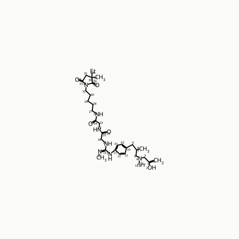 C=C(O)CN(CCC)CC(C)Cc1ccc(N/C(=N\C)NCC(=O)NCC(=O)NCCCCCN2C(=O)CC(C)(CC)C2=O)cc1